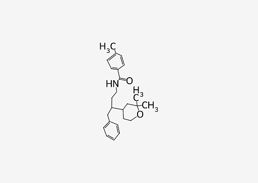 Cc1ccc(C(=O)NCCC(Cc2ccccc2)C2CCOC(C)(C)C2)cc1